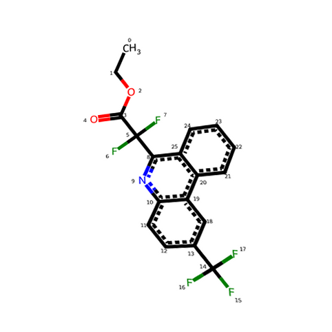 CCOC(=O)C(F)(F)c1nc2ccc(C(F)(F)F)cc2c2ccccc12